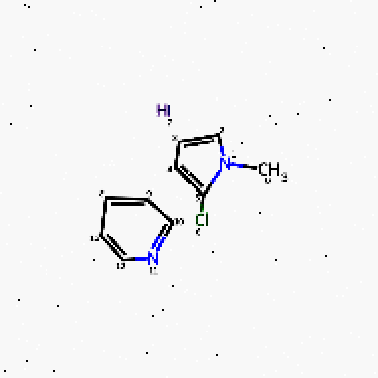 Cn1cccc1Cl.I.c1ccncc1